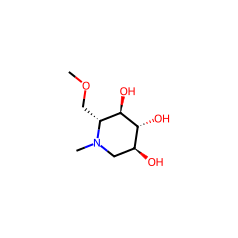 COC[C@@H]1[C@@H](O)[C@H](O)[C@@H](O)CN1C